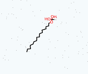 [CH2]C(O)(O)OCCCCCCCCCCCCCCCC